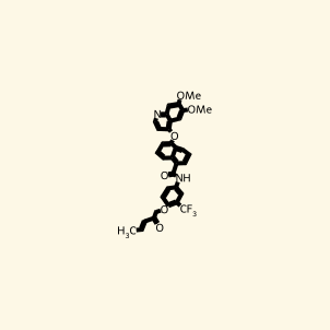 C/C=C/C(=O)COc1ccc(NC(=O)c2cccc3c(Oc4ccnc5cc(OC)c(OC)cc45)cccc23)cc1C(F)(F)F